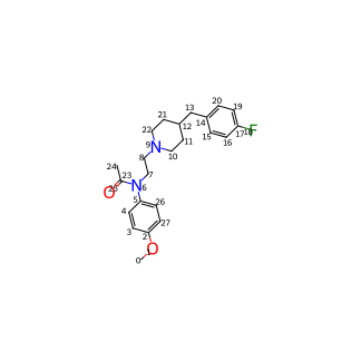 COc1ccc(N(CCN2CCC(Cc3ccc(F)cc3)CC2)C(C)=O)cc1